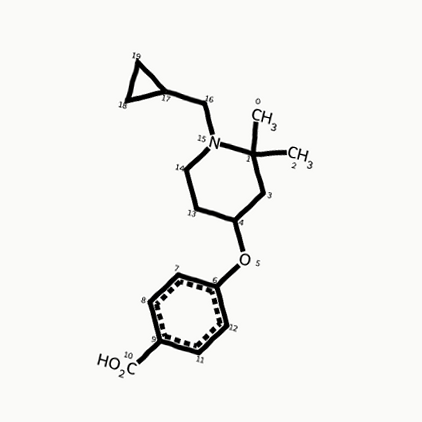 CC1(C)CC(Oc2ccc(C(=O)O)cc2)CCN1CC1CC1